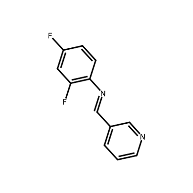 Fc1ccc(/N=C/c2cccnc2)c(F)c1